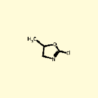 CC1CN=C(Cl)O1